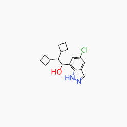 OC(c1cc(Cl)cc2cn[nH]c12)C(C1CCC1)C1CCC1